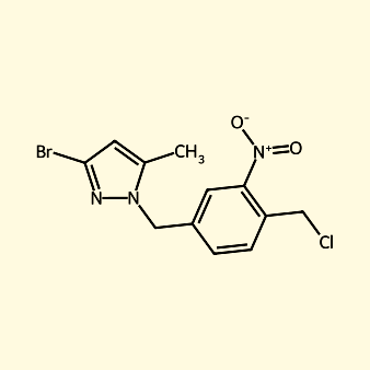 Cc1cc(Br)nn1Cc1ccc(CCl)c([N+](=O)[O-])c1